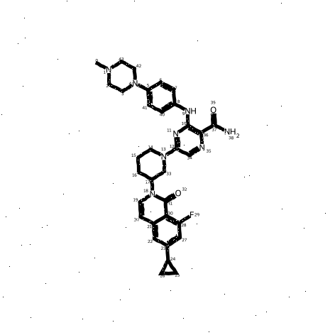 CN1CCN(c2ccc(Nc3nc(N4CCCC(n5ccc6cc(C7CC7)cc(F)c6c5=O)C4)cnc3C(N)=O)cc2)CC1